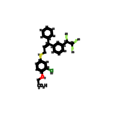 O=C(O)COc1ccc(SCC=C(c2ccccc2)c2cccc(C(F)C(F)F)c2)cc1Cl